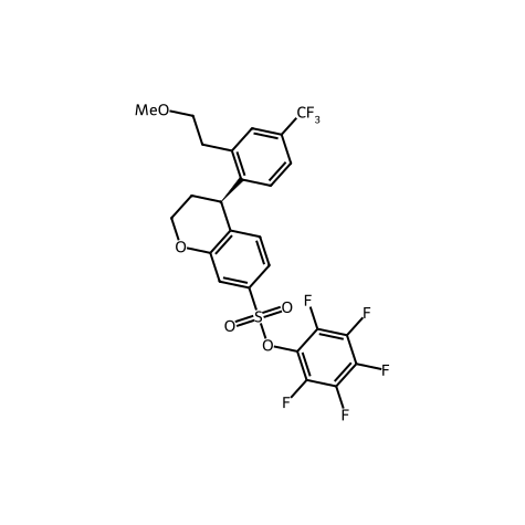 COCCc1cc(C(F)(F)F)ccc1[C@@H]1CCOc2cc(S(=O)(=O)Oc3c(F)c(F)c(F)c(F)c3F)ccc21